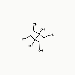 CCC(O)(CO)C(O)(CO)CO